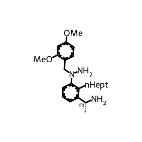 CCCCCCCc1c([C@@H](C)N)cccc1N(N)Cc1ccc(OC)cc1OC